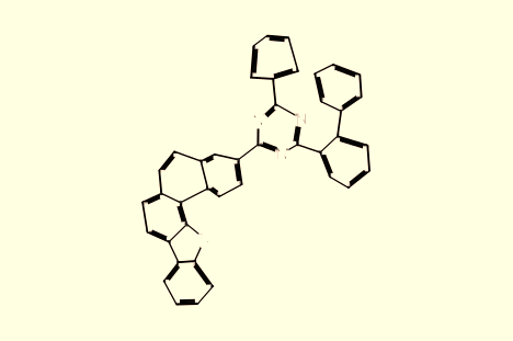 c1ccc(-c2nc(-c3ccc4c(ccc5ccc6c7ccccc7sc6c54)c3)nc(-c3ccccc3-c3ccccc3)n2)cc1